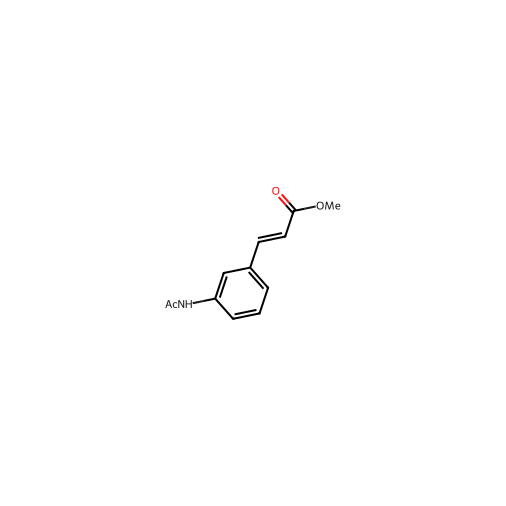 COC(=O)/C=C/c1cccc(NC(C)=O)c1